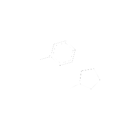 CC(C)[n+]1cccc([C@@H]2CCCN2C)c1